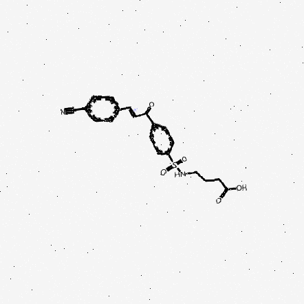 N#Cc1ccc(/C=C/C(=O)c2ccc(S(=O)(=O)NCCCC(=O)O)cc2)cc1